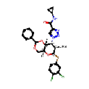 CO[C@@H]1[C@@H](n2cc(C(=O)NC3CC3)nn2)[C@H]2OC(c3ccccc3)OC[C@H]2O[C@@H]1Sc1ccc(Cl)c(Cl)c1